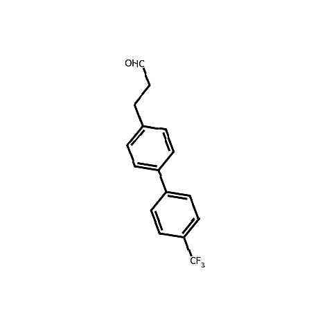 O=CCCc1ccc(-c2ccc(C(F)(F)F)cc2)cc1